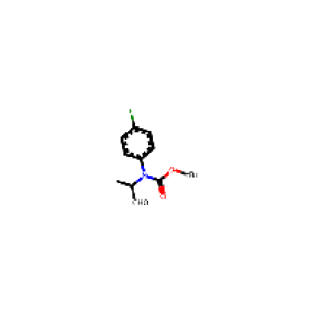 CC(C=O)N(C(=O)OC(C)(C)C)c1ccc(F)cc1